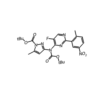 Cc1ccc([N+](=O)[O-])cc1-c1ncc(F)c(N(C(=O)OC(C)(C)C)c2cc(C)n(C(=O)OC(C)(C)C)n2)n1